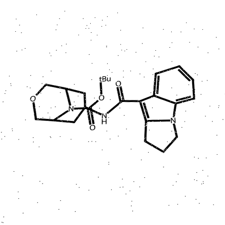 CC(C)(C)OC(=O)N1C2COCC1CC(NC(=O)c1c3n(c4ccccc14)CCC3)C2